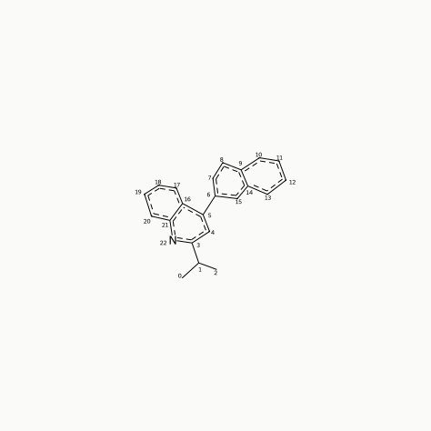 CC(C)c1cc(-c2ccc3ccccc3c2)c2ccccc2n1